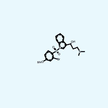 COc1ccc(S(=O)(=O)n2cc(C(O)CCN(C)C)c3ccccc32)c(Br)c1